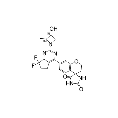 C[C@H]1[C@H](O)CN1c1nc(-c2ccc3c(c2)OCCC32NC(=O)NC2=O)c2c(n1)C(F)(F)CC2